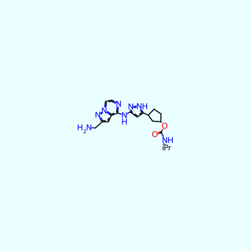 CC(C)NC(=O)OC1CCC(c2cc(Nc3nccn4nc(CN)cc34)n[nH]2)C1